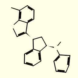 CN(c1ccccc1)[C@@H]1C[C@H](c2c[nH]c3c(F)cccc23)c2ccccc21